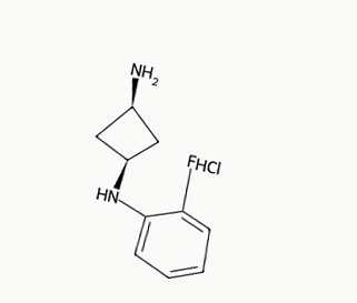 Cl.N[C@H]1C[C@@H](Nc2ccccc2F)C1